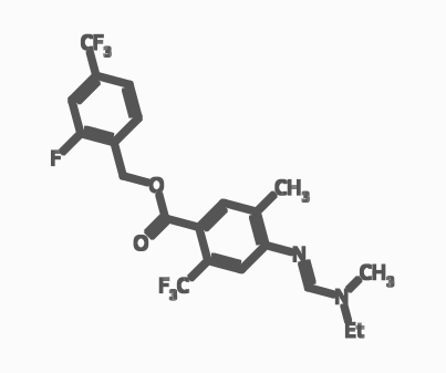 CCN(C)/C=N/c1cc(C(F)(F)F)c(C(=O)OCc2ccc(C(F)(F)F)cc2F)cc1C